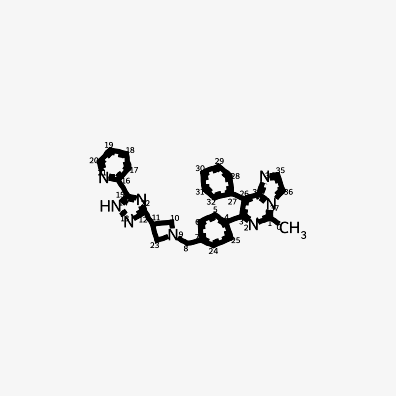 Cc1nc(-c2ccc(CN3CC(c4n[nH]c(-c5ccccn5)n4)C3)cc2)c(-c2ccccc2)c2nccn12